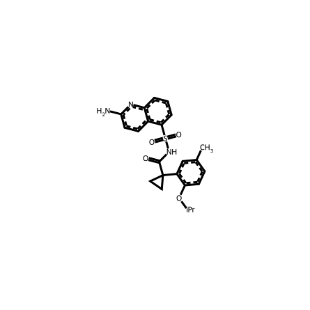 Cc1ccc(OC(C)C)c(C2(C(=O)NS(=O)(=O)c3cccc4nc(N)ccc34)CC2)c1